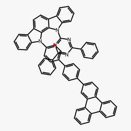 c1ccc(-c2nc(-c3ccccc3)nc(-n3c4ccccc4c4ccc5c6ccccc6n(-c6ccc(-c7ccc(-c8ccc9c%10ccccc%10c%10ccccc%10c9c8)cc7)cc6)c5c43)n2)cc1